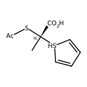 CC(=O)S[C@](C)(C(=O)O)[SH]1C=CC=C1